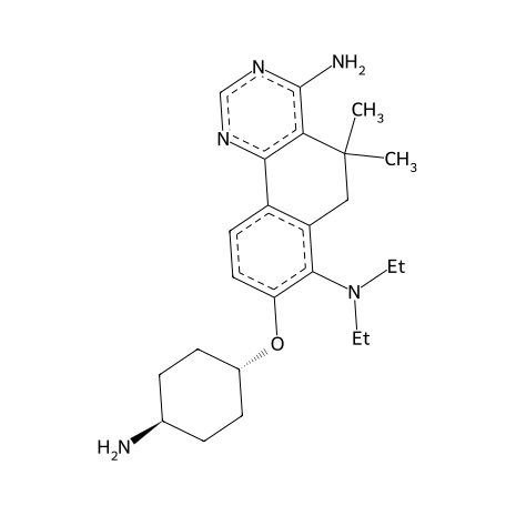 CCN(CC)c1c(O[C@H]2CC[C@H](N)CC2)ccc2c1CC(C)(C)c1c(N)ncnc1-2